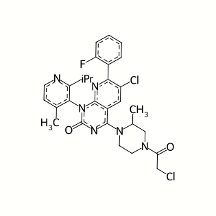 Cc1ccnc(C(C)C)c1-n1c(=O)nc(N2CCN(C(=O)CCl)CC2C)c2cc(Cl)c(-c3ccccc3F)nc21